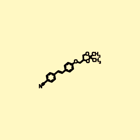 CC1(C)OCC(COc2ccc(C=Cc3ccc(C#N)cc3)cc2)O1